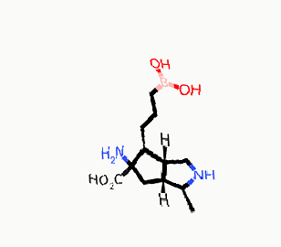 C[C@@H]1NC[C@@H]2[C@H]1CC(N)(C(=O)O)[C@H]2CCCB(O)O